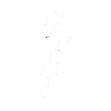 CCOc1ccc(CNC(C)[C@@H](O)c2ccccc2)cc1